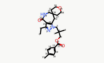 CCc1nn(CC(C)(C)COC(=O)c2ccc(C)cc2)c2c1C(=O)NCC1(CCOCC1)C2